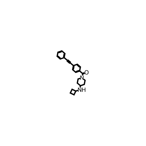 O=C(c1ccc(C#Cc2ccccc2)cc1)N1CCC(NC2CCC2)CC1